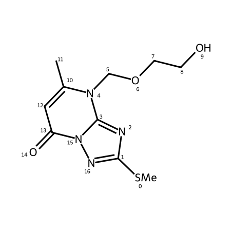 CSc1nc2n(COCCO)c(C)cc(=O)n2n1